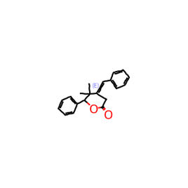 CC1(C)/C(=C/c2ccccc2)CC(=O)OC1c1ccccc1